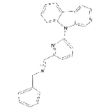 C(=N\Cc1ccccc1)/c1cccc(-n2c3ccccc3c3ccccc32)n1